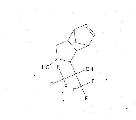 OC1CC2C3C=CC(C3)C2C1C(O)(C(F)(F)F)C(F)(F)F